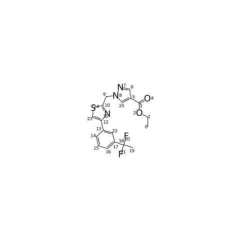 CCOC(=O)c1cnn(Cc2nc(-c3cccc(C(C)(F)F)c3)cs2)c1